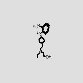 CCN(CCO)CCc1ccc(Nc2ccccc2N)cc1